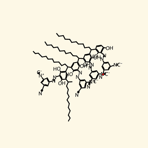 [C-]#[N+]c1cc(C#N)cc(N=Nc2c(O)ccc(C(CCCCCCCCCCC)c3cc(C(CCCCCCCCCCC)c4cc(C(CCCCCCCCCCC)c5cc(C(C)CCCCCCCCCCC)c(O)c(N=Nc6cc(C#N)cc([N+]#[C-])c6)c5O)c(O)c(N=Nc5cc(C#N)cc([N+]#[C-])c5)c4O)c(O)c(N=Nc4cc(C#N)cc([N+]#[C-])c4)c3O)c2O)c1